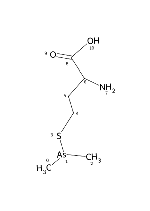 C[As](C)SCCC(N)C(=O)O